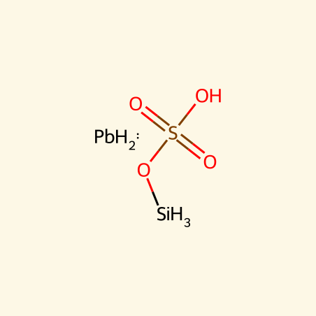 O=S(=O)(O)O[SiH3].[PbH2]